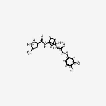 CC1CC(C(=O)NC23CC(C2)[C@@H](NC(=O)COc2ccc(Cl)c(Cl)c2)C3)ON1